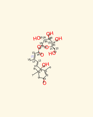 CC1=CC(=O)CC(C)(C)C1(O)C=C/C(C)=C\C(=O)O[C@@H]1O[C@H](CO)[C@@H](O)[C@H](O)[C@H]1O